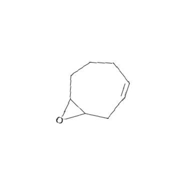 C1=CCC2OC2CCC1